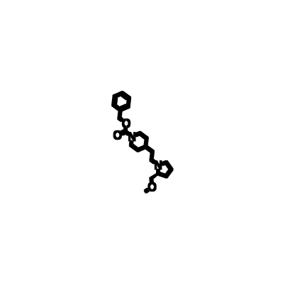 COC[C@@H]1CCCN1CCC1CCN(C(=O)OCc2ccccc2)CC1